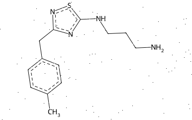 Cc1ccc(Cc2nsc(NCCCN)n2)cc1